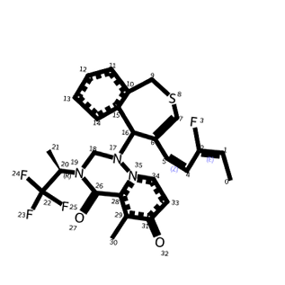 C/C=C(F)\C=C/C1=CSCc2ccccc2C1N1CN([C@H](C)C(F)(F)F)C(=O)c2c(C)c(=O)ccn21